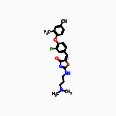 CN(C)CCCNC1=NC(=O)/C(=C\c2ccc(Oc3ccc(C#N)cc3C(F)(F)F)c(F)c2)S1